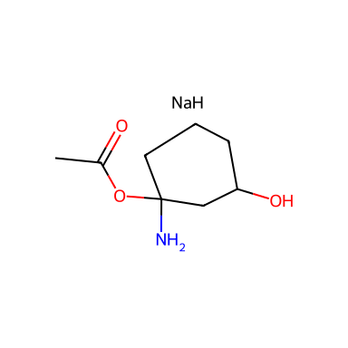 CC(=O)OC1(N)CCCC(O)C1.[NaH]